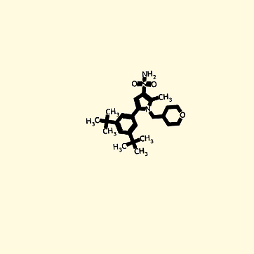 Cc1c(S(N)(=O)=O)cc(-c2cc(C(C)(C)C)cc(C(C)(C)C)c2)n1CC1CCOCC1